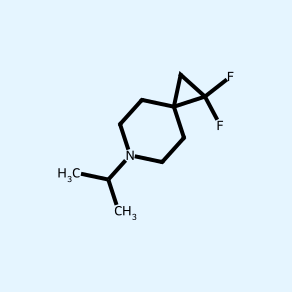 CC(C)N1CCC2(CC1)CC2(F)F